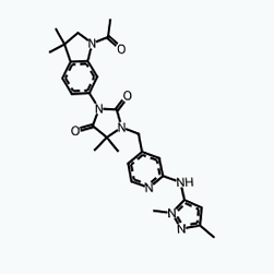 CC(=O)N1CC(C)(C)c2ccc(N3C(=O)N(Cc4ccnc(Nc5cc(C)nn5C)c4)C(C)(C)C3=O)cc21